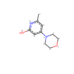 Cc1cc(N2CCOCC2)cc(O)n1